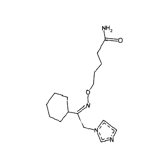 NC(=O)CCCCO/N=C(/Cn1ccnc1)C1CCCCC1